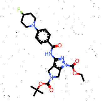 CCOC(=O)n1nc(NC(=O)c2ccc(N3CCC(F)CC3)cc2)c2c1CN(C(=O)OC(C)(C)C)C2